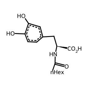 CCCCCCC(=O)N[C@@H](Cc1ccc(O)c(O)c1)C(=O)O